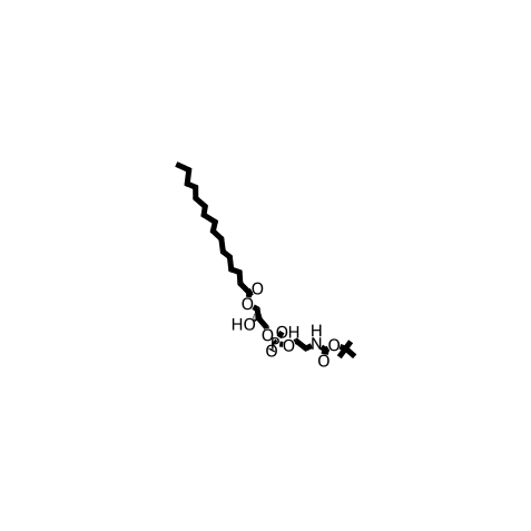 CCCCCCCCCCCCCCCC(=O)OC[C@@H](O)COP(=O)(O)OCCNC(=O)OC(C)(C)C